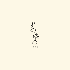 Oc1ccc(-c2nc(-c3ccc(OC4CCC4)cc3)no2)cc1